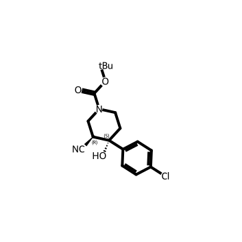 CC(C)(C)OC(=O)N1CC[C@@](O)(c2ccc(Cl)cc2)[C@@H](C#N)C1